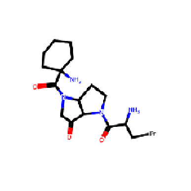 CC(C)CC(N)C(=O)N1CCC2C1C(=O)CN2C(=O)C1(N)CCCCC1